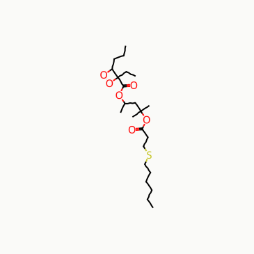 CCCCCCSCCC(=O)OC(C)(C)CC(C)OC(=O)C1(CC)OOC1CCC